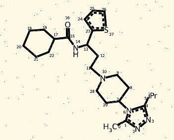 Cc1nnc(C(C)C)n1C1CCN(CCC(NC(=O)C2CCCCC2)c2cccs2)CC1